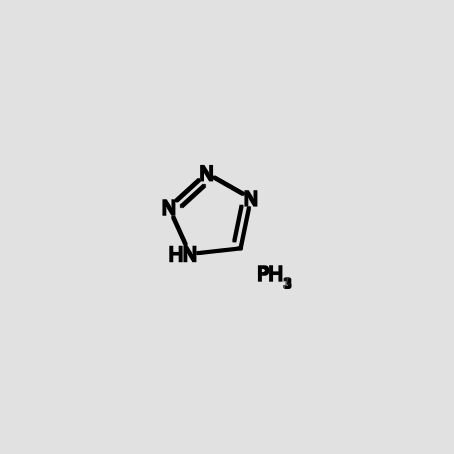 P.c1nnn[nH]1